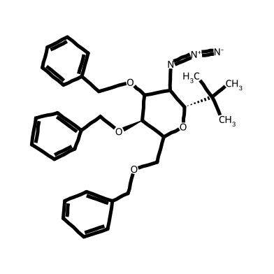 CC(C)(C)[C@@H]1OC(COCc2ccccc2)[C@@H](OCc2ccccc2)C(OCc2ccccc2)C1N=[N+]=[N-]